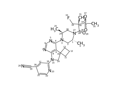 C[C@@H]1CN(c2ncnc3c2C2(CCC2)CN3c2cc(C#N)ccn2)[C@@H](C)CN1C(=O)[C@](C)(CF)S(C)(=O)=O